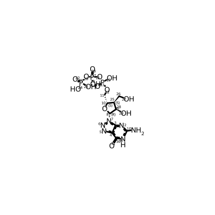 Nc1nc2c(nnn2[C@@H]2O[C@H](COP(=O)(O)OP(=O)(O)OP(=O)(O)O)[C@@H](CO)[C@H]2O)c(=O)[nH]1